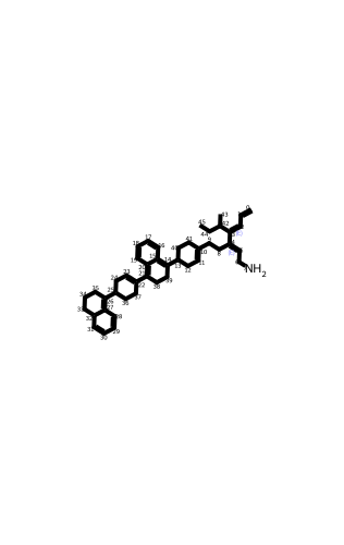 C=C/C=C(/C(=C/CN)CCC1=CCC(C2=c3ccccc3=C(C3=CCC(C4=C5C=CC=CC5CCC4)CC3)CC2)CC1)C(C)CC